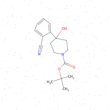 CC(C)(C)OC(=O)N1CCC(O)(c2ccccc2C#N)CC1